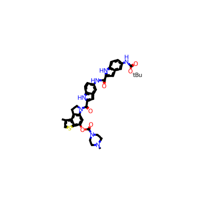 Cc1csc2c(OC(=O)N3CCN(C)CC3)cc3c(c12)CCN3C(=O)c1cc2cc(NC(=O)c3cc4cc(NC(=O)OC(C)(C)C)ccc4[nH]3)ccc2[nH]1